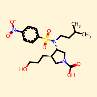 CC(C)CCN([C@@H]1CN(C(=O)O)C[C@H]1CCCO)S(=O)(=O)c1ccc([N+](=O)[O-])cc1